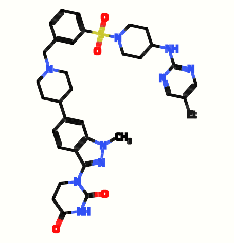 CCc1cnc(NC2CCN(S(=O)(=O)c3cccc(CN4CCC(c5ccc6c(N7CCC(=O)NC7=O)nn(C)c6c5)CC4)c3)CC2)nc1